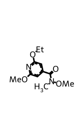 CCOc1cc(C(=O)N(C)OC)cc(OC)n1